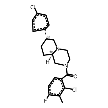 Cc1c(F)ccc(C(=O)N2CCN3C[C@@H](c4ccc(Cl)cc4)CC[C@@H]3C2)c1Cl